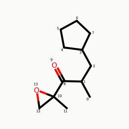 CC(CC1CCCC1)C(=O)C1(C)CO1